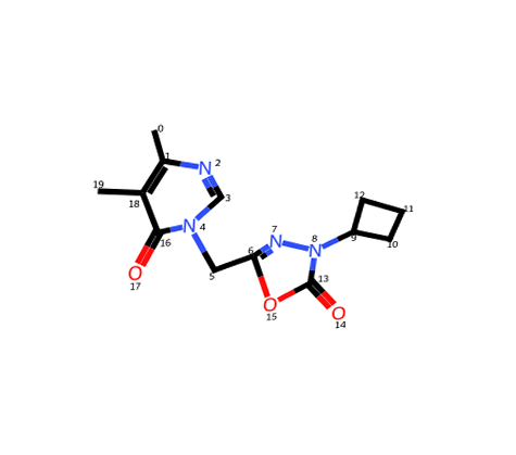 Cc1ncn(Cc2nn(C3CCC3)c(=O)o2)c(=O)c1C